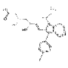 CC(C)n1c(C=C[C@H](O)C[C@H](O)CC(=O)O)c(-c2ccc(F)cc2)c2ccccc21.[SrH2]